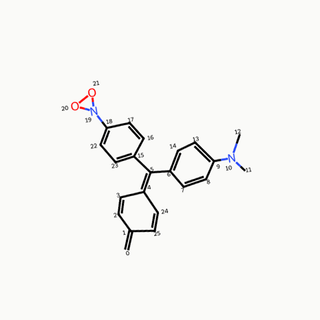 C=c1ccc(=C(c2ccc(N(C)C)cc2)c2ccc(-n3oo3)cc2)cc1